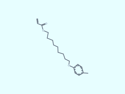 C=CC(=O)OCCCCCCCCCOc1ccc(C)cc1